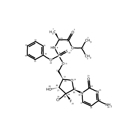 CC(C)OC(=O)[C@H](C)NP(=S)(OC[C@H]1O[C@@H](n2ccc(N)nc2=O)[C@](F)(Cl)[C@@H]1O)Oc1ccccc1